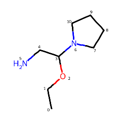 CCOC(CN)N1CCCC1